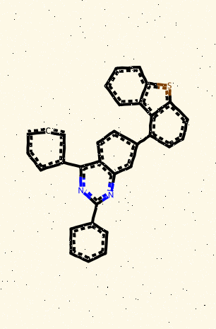 c1ccc(-c2nc(-c3ccccc3)c3ccc(-c4cccc5sc6ccccc6c45)cc3n2)cc1